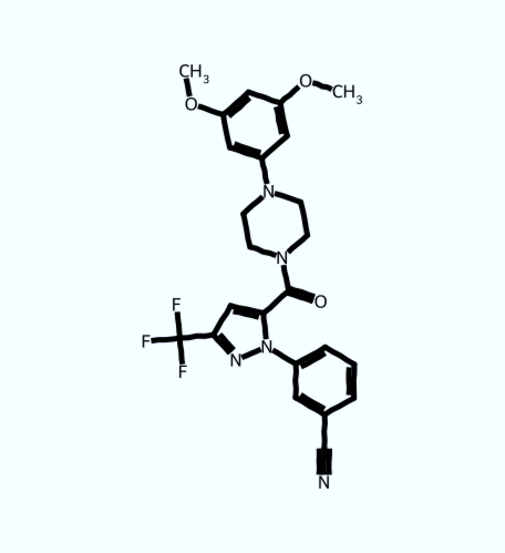 COc1cc(OC)cc(N2CCN(C(=O)c3cc(C(F)(F)F)nn3-c3cccc(C#N)c3)CC2)c1